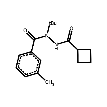 Cc1cccc(C(=O)N(NC(=O)C2CCC2)C(C)(C)C)c1